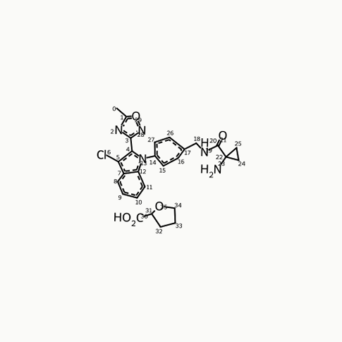 Cc1nc(-c2c(Cl)c3ccccc3n2-c2ccc(CNC(=O)C3(N)CC3)cc2)no1.O=C(O)C1CCCO1